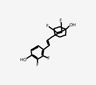 Oc1ccc(/C=C/C23CCC(O)(CC2)C(F)=C3F)c(F)c1F